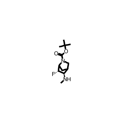 CN[C@@H]1C2CC([C@H]1F)N(C(=O)OC(C)(C)C)C2